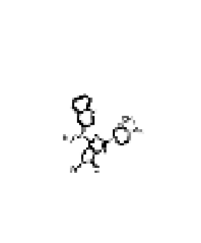 CC(=O)N1CCN(c2nc3c(c(N(C)c4cnc5ccccc5c4)n2)CN(C(C)C)C3=O)C[C@H]1C